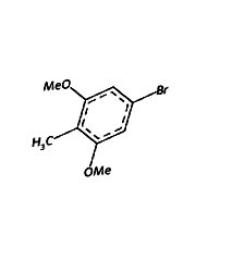 COc1cc(Br)cc(OC)c1C